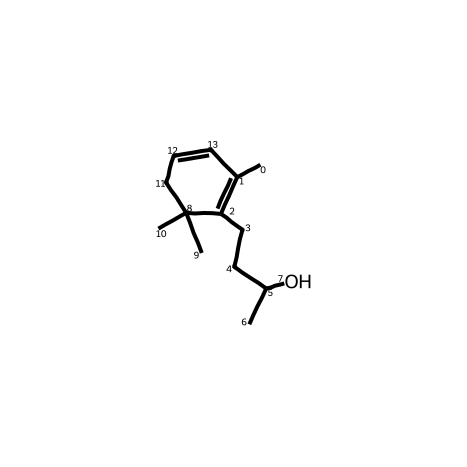 CC1=C(CCC(C)O)C(C)(C)CC=C1